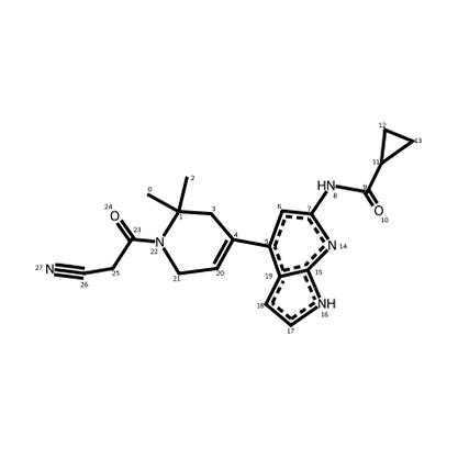 CC1(C)CC(c2cc(NC(=O)C3CC3)nc3[nH]ccc23)=CCN1C(=O)CC#N